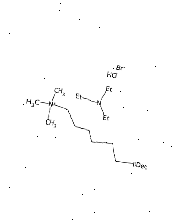 CCCCCCCCCCCCCCCC[N+](C)(C)C.CCN(CC)CC.Cl.[Br-]